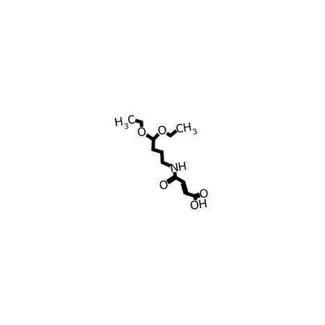 CCOC(CCCNC(=O)C=CC(=O)O)OCC